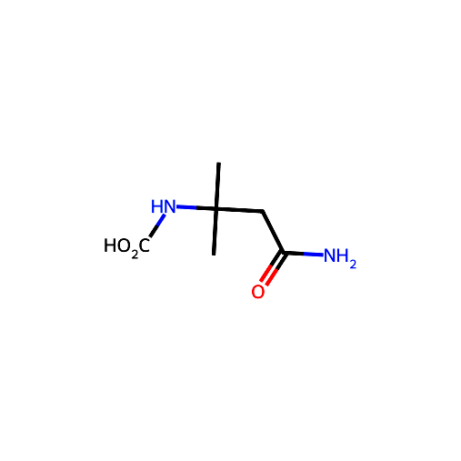 CC(C)(CC(N)=O)NC(=O)O